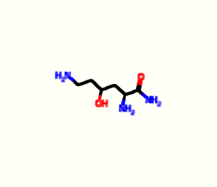 NCCC(O)C[C@H](N)C(N)=O